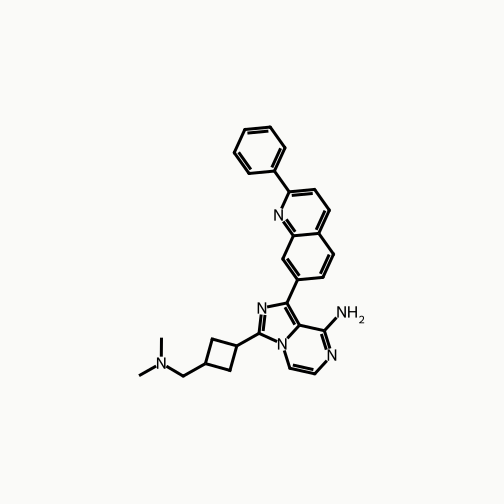 CN(C)CC1CC(c2nc(-c3ccc4ccc(-c5ccccc5)nc4c3)c3c(N)nccn23)C1